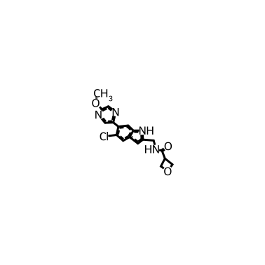 COc1cnc(-c2cc3[nH]c(CNC(=O)C4COC4)cc3cc2Cl)cn1